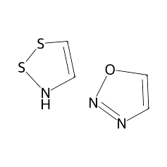 C1=CSSN1.c1conn1